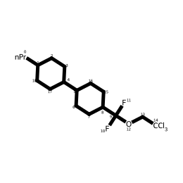 CCCC1CCC(C2CCC(C(F)(F)OCC(Cl)(Cl)Cl)CC2)CC1